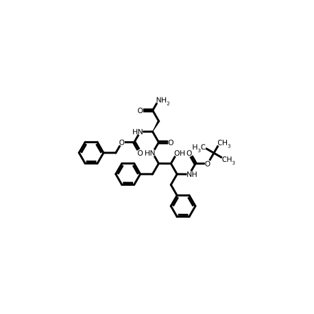 CC(C)(C)OC(=O)NC(Cc1ccccc1)C(O)C(Cc1ccccc1)NC(=O)[C@H](CC(N)=O)NC(=O)OCc1ccccc1